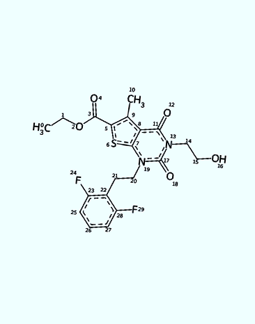 CCOC(=O)c1sc2c(c1C)c(=O)n(CCO)c(=O)n2CCc1c(F)cccc1F